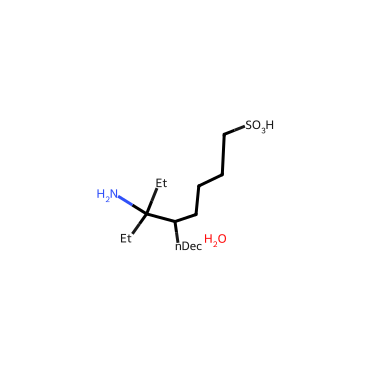 CCCCCCCCCCC(CCCCS(=O)(=O)O)C(N)(CC)CC.O